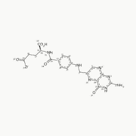 Nc1nc2ncc(CNc3ccc(C(=O)N[C@@H](CC[C](=O)[Zr])C(=O)O)cc3)nc2c(=O)[nH]1